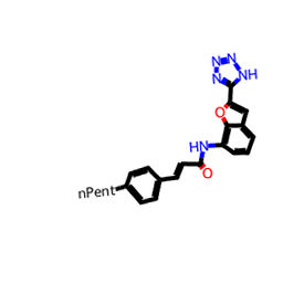 CCCCCc1ccc(C=CC(=O)Nc2cccc3cc(-c4nnn[nH]4)oc23)cc1